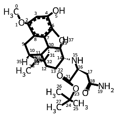 COc1cc(O)c2c3c1C[C@@H]1[C@@H]4CC[C@@H](N[C@@H](CC(N)=O)C(=O)OC(C)(C)C)[C@H](O2)[C@]34CCN1C